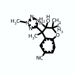 Cn1nnc(C2(C)c3cc(C#N)ccc3OC(C)(C)C2(N)O)n1